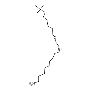 CC(C)(C)CCCCCCCC/C=C\CCCCCCCCN